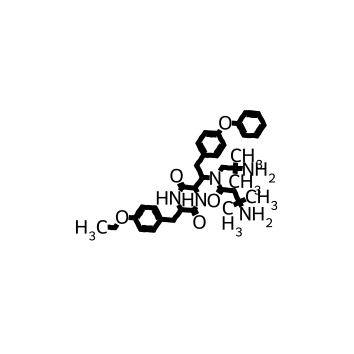 CCOc1ccc(CC2NC(=O)C(C(Cc3ccc(Oc4ccccc4)cc3)N(CC(C)(C)N)C(=O)CC(C)(C)N)NC2=O)cc1